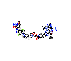 CC(C)(C)n1nc(-c2noc(C3CC3)c2-c2ncc(C3CCN(C(=O)OCC(=O)N4CCC(CN5CCN(c6c(F)cc(N[C@@H]7CCC(=O)NC7=O)cc6F)CC5)CC4)CC3)cn2)c2c(N)ncnc21